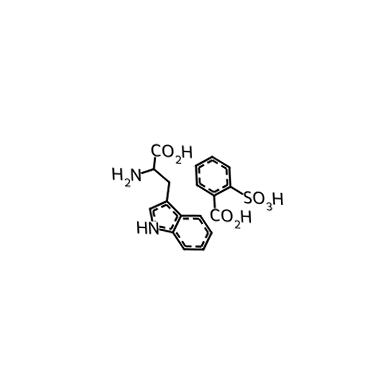 NC(Cc1c[nH]c2ccccc12)C(=O)O.O=C(O)c1ccccc1S(=O)(=O)O